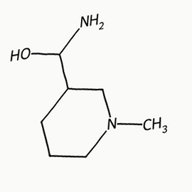 CN1CCCC(C(N)O)C1